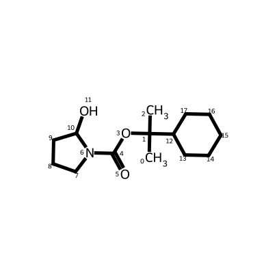 CC(C)(OC(=O)N1CCCC1O)C1CCCCC1